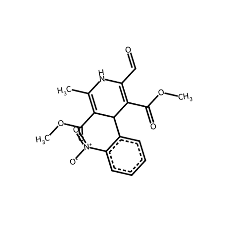 COC(=O)C1=C(C)NC(C=O)=C(C(=O)OC)C1c1ccccc1[N+](=O)[O-]